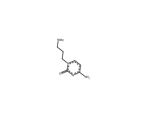 CNCCCn1ccc(N)nc1=O